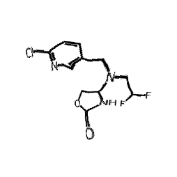 O=C1NC(N(Cc2ccc(Cl)nc2)CC(F)F)CO1